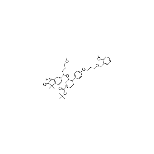 COCCCC(OC1CN(C(=O)OC(C)(C)C)CCC1c1ccc(OCCCOCc2ccccc2OC)cc1)c1ccc2c(c1)NC(=O)C2(C)C